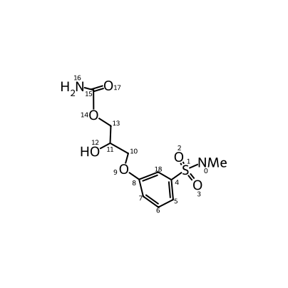 CNS(=O)(=O)c1cccc(OCC(O)COC(N)=O)c1